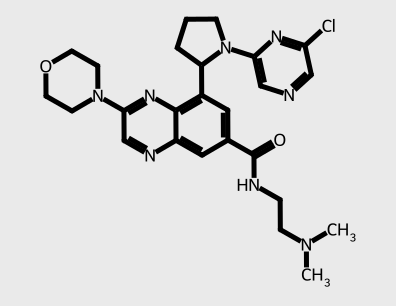 CN(C)CCNC(=O)c1cc(C2CCCN2c2cncc(Cl)n2)c2nc(N3CCOCC3)cnc2c1